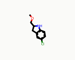 COCC1Cc2cc(Cl)ccc2N1